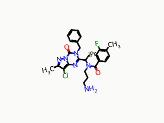 Cc1ccc(C(=O)N(CCCN)C(c2nc3c(Cl)c(C)nn3c(=O)n2Cc2ccccc2)C(C)C)cc1F